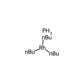 CCC[CH2][Rh]([CH2]CCC)[CH2]CCC.P